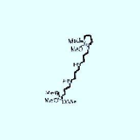 CO[Si](CCCNCCCNCCCN1CCC[Si]1(OC)OC)(OC)OC